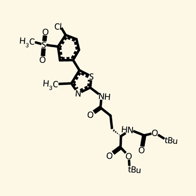 Cc1nc(NC(=O)CC[C@H](NC(=O)OC(C)(C)C)C(=O)OC(C)(C)C)sc1-c1ccc(Cl)c(S(C)(=O)=O)c1